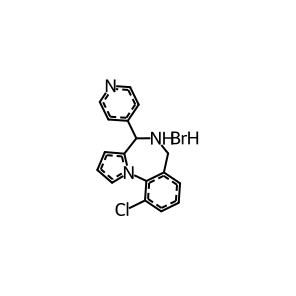 Br.Clc1cccc2c1-n1cccc1C(c1ccncc1)NC2